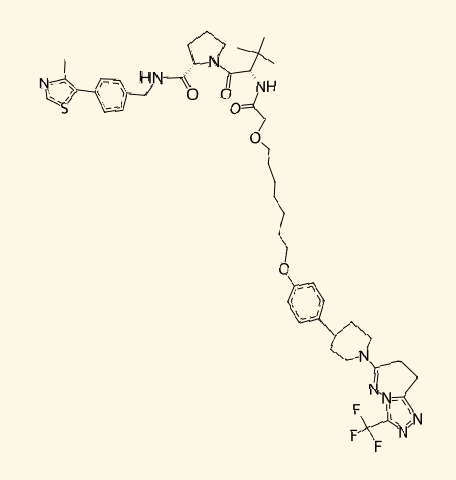 Cc1ncsc1-c1ccc(CNC(=O)[C@@H]2CCCN2C(=O)[C@@H](NC(=O)COCCCCCCCOc2ccc(C3CCN(C4=Nn5c(nnc5C(F)(F)F)CC4)CC3)cc2)C(C)(C)C)cc1